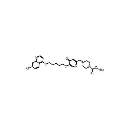 CC(C)(C)OC(=O)N1CCN(Cc2cc(=O)c(OCCCCCOc3ccnc4cc(Cl)ccc34)co2)CC1